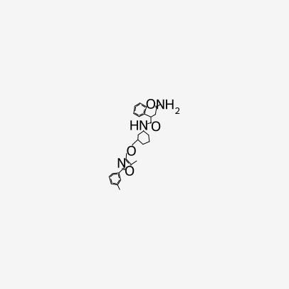 Cc1cccc(-c2nc(COCC3CCCC(NC(=O)C(CC(N)=O)c4ccccc4)C3)c(C)o2)c1